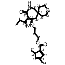 CCc1nn(CCCOC(=O)C2=CC(C)=CC2C)c2c1C(=O)NCC1(CCOCC1)C2